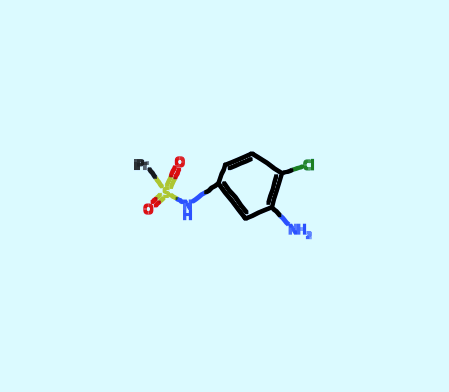 CC(C)S(=O)(=O)Nc1ccc(Cl)c(N)c1